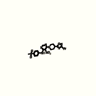 CC(C)c1noc(C2CCN(c3ncnc(Nc4ccc(S(C)(=O)=O)cc4)c3[N+](=O)[O-])CC2)n1